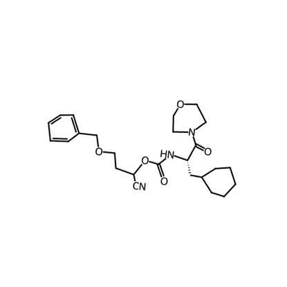 N#CC(CCOCc1ccccc1)OC(=O)N[C@@H](CC1CCCCC1)C(=O)N1CCOCC1